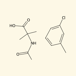 CC(=O)NC(C)(C)C(=O)O.Cc1cccc(Cl)c1